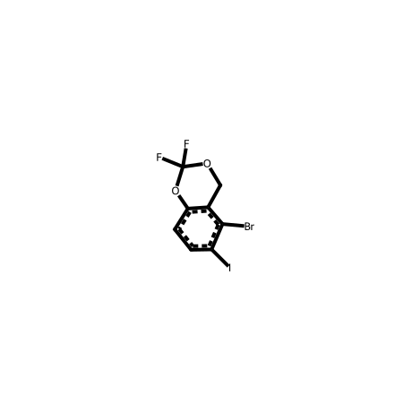 FC1(F)OCc2c(ccc(I)c2Br)O1